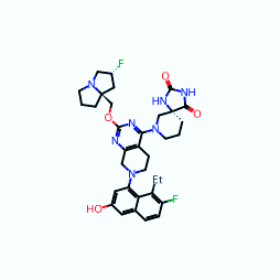 CCc1c(F)ccc2cc(O)cc(N3CCc4c(nc(OC[C@@]56CCCN5C[C@H](F)C6)nc4N4CCC[C@]5(C4)NC(=O)NC5=O)C3)c12